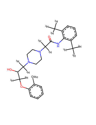 [2H]C([2H])([2H])c1cccc(C([2H])([2H])[2H])c1NC(=O)C([2H])([2H])N1CCN(C([2H])([2H])C(O)C([2H])([2H])Oc2ccccc2OC)CC1